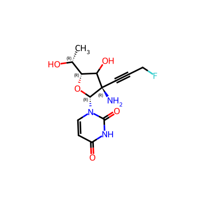 C[C@@H](O)[C@H]1O[C@@H](n2ccc(=O)[nH]c2=O)[C@@](N)(C#CCF)C1O